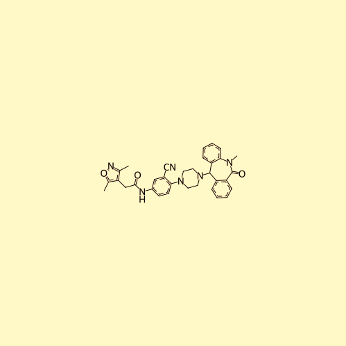 Cc1noc(C)c1CC(=O)Nc1ccc(N2CCN(C3c4ccccc4C(=O)N(C)c4ccccc43)CC2)c(C#N)c1